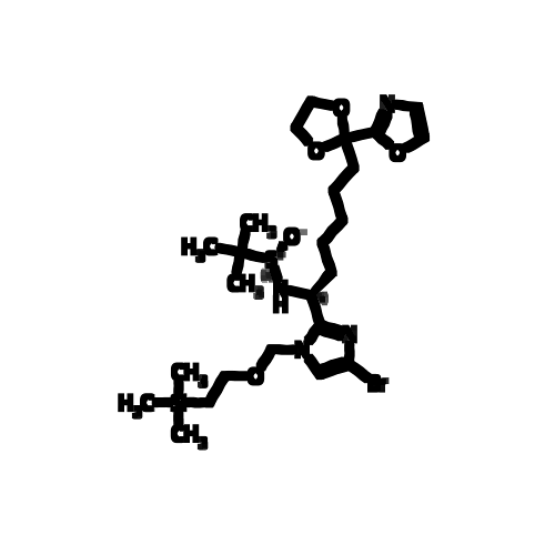 CC(C)(C)[S@@+]([O-])N[C@@H](CCCCCC1(c2ncco2)OCCO1)c1nc(Br)cn1COCC[Si](C)(C)C